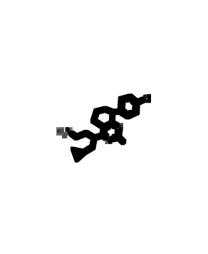 Cc1nc(C(CCN)CC2CC2)c2c(n1)C(c1ccc(Cl)cc1)CCC2